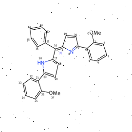 COc1ccccc1C1=N/C(=C(/c2ccccc2)c2ccc(-c3ccccc3OC)[nH]2)C=C1